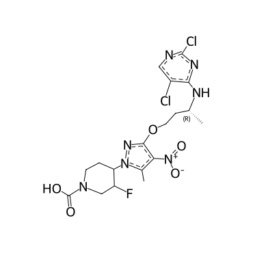 Cc1c([N+](=O)[O-])c(OCC[C@@H](C)Nc2nc(Cl)ncc2Cl)nn1C1CCN(C(=O)O)CC1F